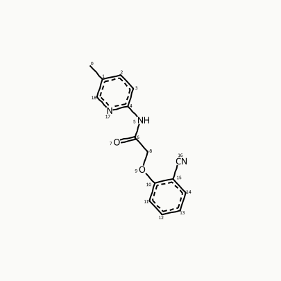 Cc1ccc(NC(=O)COc2ccccc2C#N)nc1